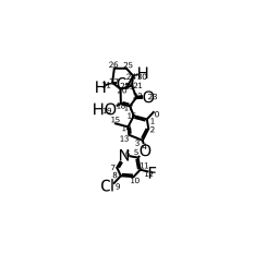 Cc1cc(Oc2ncc(Cl)cc2F)cc(C)c1C1=C(O)C2C(C1=O)[C@H]1CC[C@@H]2CC1